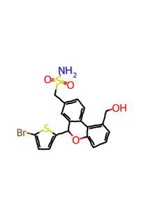 NS(=O)(=O)Cc1ccc2c(c1)C(c1ccc(Br)s1)Oc1cccc(CO)c1-2